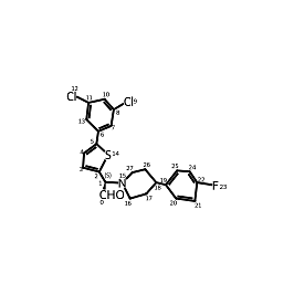 O=C[C@@H](c1ccc(-c2cc(Cl)cc(Cl)c2)s1)N1CCC(c2ccc(F)cc2)CC1